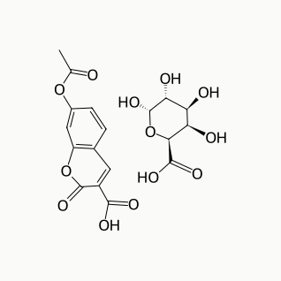 CC(=O)Oc1ccc2cc(C(=O)O)c(=O)oc2c1.O=C(O)[C@H]1O[C@H](O)[C@H](O)[C@@H](O)[C@H]1O